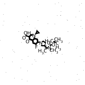 C[C@H]([C@@H]1CCN(c2cc3c(cc2F)c(=O)c(C(=O)O)cn3C2CC2)C1)N(C)C(=O)OC(C)(C)C